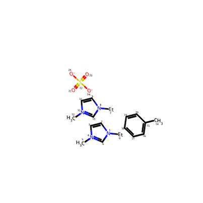 CCn1cc[n+](C)c1.CCn1cc[n+](C)c1.Cc1ccccc1.O=S(=O)([O-])[O-]